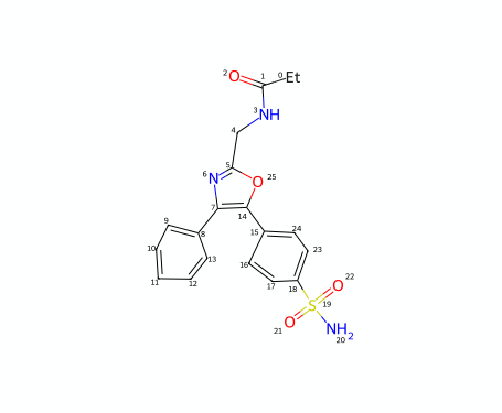 CCC(=O)NCc1nc(-c2ccccc2)c(-c2ccc(S(N)(=O)=O)cc2)o1